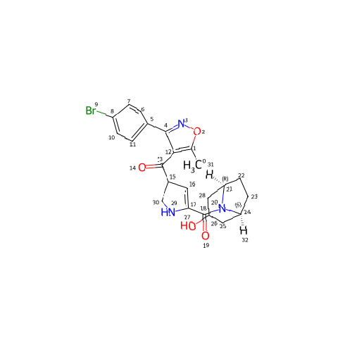 Cc1onc(-c2ccc(Br)cc2)c1C(=O)C1C=C(C(=O)N2[C@@H]3CC[C@H]2CC(O)C3)NC1